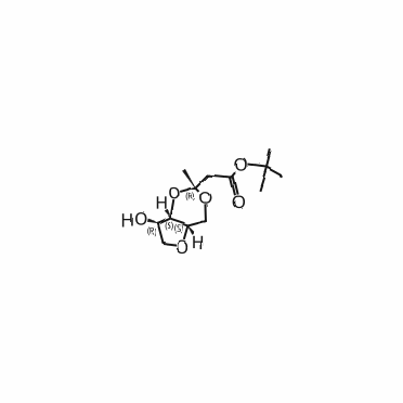 CC(C)(C)OC(=O)C[C@]1(C)OC[C@@H]2OC[C@@H](O)[C@@H]2O1